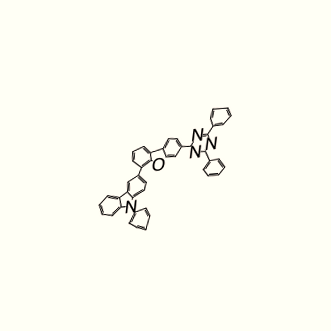 c1ccc(-c2nc(-c3ccccc3)nc(-c3ccc4c(c3)oc3c(-c5ccc6c(c5)c5ccccc5n6-c5ccccc5)cccc34)n2)cc1